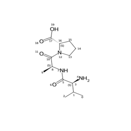 CC(C)[C@H](N)C(=O)N[C@@H](C)C(=O)N1CCC[C@H]1C(=O)O